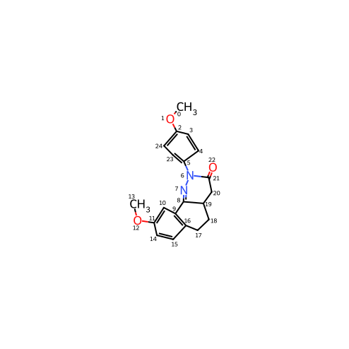 COc1ccc(N2N=C3c4cc(OC)ccc4CCC3CC2=O)cc1